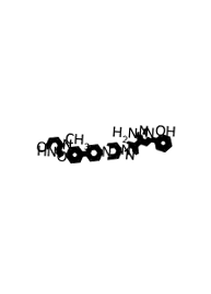 CN(c1cccc(C2CCC(N3CCC(n4cc(-c5cc(-c6ccccc6O)nnc5N)cn4)CC3)CC2)c1)[C@@H]1CCC(=O)NC1=O